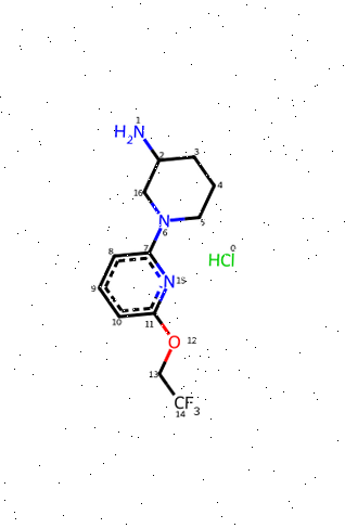 Cl.NC1CCCN(c2cccc(OCC(F)(F)F)n2)C1